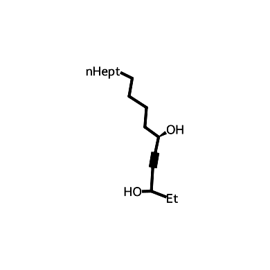 CCCCCCCCCCC[C@@H](O)C#CC(O)CC